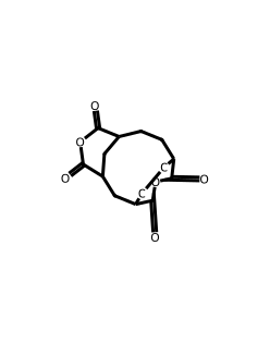 O=C1OC(=O)C2CCC1CCC1CC(C2)C(=O)OC1=O